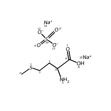 CSCCC(N)C(=O)O.O=S(=O)([O-])[O-].[Na+].[Na+]